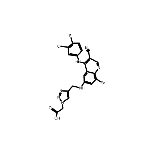 N#Cc1cnc2c(Br)cc(NCc3cn(CC(=O)O)nn3)cc2c1Nc1ccc(F)c(Cl)c1